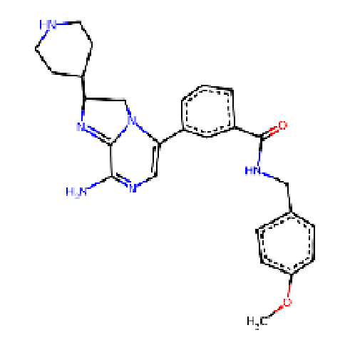 COc1ccc(CNC(=O)c2cccc(C3=CN=C(N)C4=NC(C5CCNCC5)CN34)c2)cc1